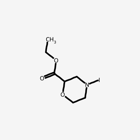 CCOC(=O)C1CN(I)CCO1